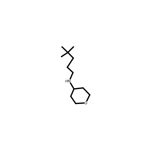 CC(C)(C)CCCNC1CCOCC1